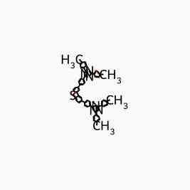 Cc1ccc(-c2nc(-c3ccc(C)cc3)nc(-c3ccc(-c4ccc5sc6ccc(-c7ccc(-c8nc(-c9ccc(C)cc9)nc(-c9ccc(C)cc9)n8)cc7)cc6c5c4)cc3)n2)cc1